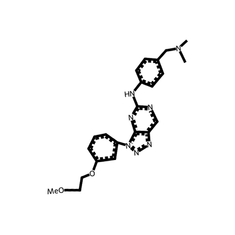 COCCOc1cccc(-n2nnc3cnc(Nc4ccc(CN(C)C)cc4)nc32)c1